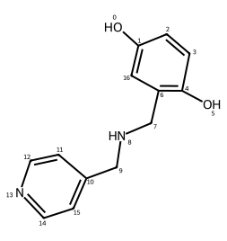 Oc1ccc(O)c(CNCc2ccncc2)c1